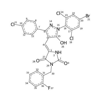 O=C1N/C(=C\c2c(-c3ccc(Cl)cc3)nn(-c3c(Cl)cc(Br)cc3Cl)c2O)C(=O)N1Cc1ccccc1F